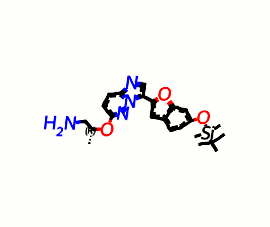 C[C@H](CN)Oc1ccc2ncc(-c3cc4ccc(O[Si](C)(C)C(C)(C)C)cc4o3)n2n1